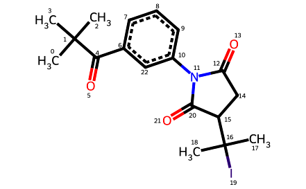 CC(C)(C)C(=O)c1cccc(N2C(=O)CC(C(C)(C)I)C2=O)c1